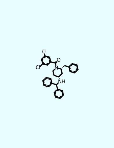 O=C(c1cc(Cl)cc(Cl)c1)N1CC[C@H](NC(c2ccccc2)c2ccccc2)C[C@H]1Cc1ccccc1